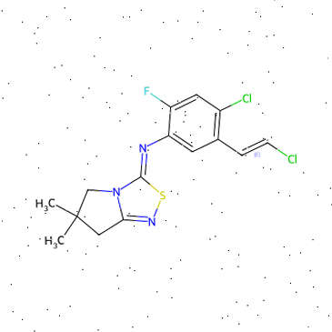 CC1(C)Cc2nsc(=Nc3cc(/C=[C]/Cl)c(Cl)cc3F)n2C1